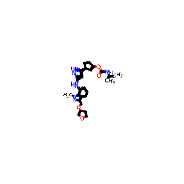 CC(C)NC(=O)OC1CCC(c2cc(NC3=c4c(c(COC5CCOC5)nn4C)=CCC3)n[nH]2)C1